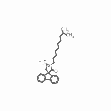 COCC1(C(=O)OCCCCCCCCC(C)C)c2ccccc2-c2ccccc21